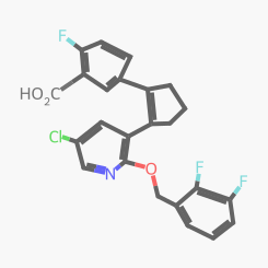 O=C(O)c1cc(C2=C(c3cc(Cl)cnc3OCc3cccc(F)c3F)CCC2)ccc1F